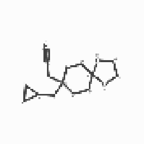 N#CCC1(CC2CC2)CCC2(CC1)OCCO2